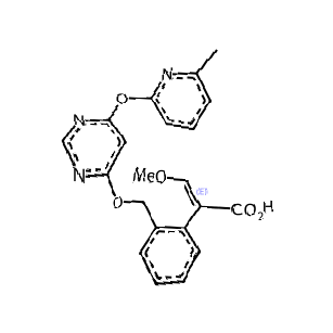 CO/C=C(/C(=O)O)c1ccccc1COc1cc(Oc2cccc(C)n2)ncn1